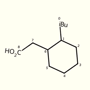 CCC(C)C1CCCCC1CC(=O)O